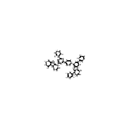 c1ccc(-c2cc(-c3ccc(-c4nc(-c5ccccc5)nc(-c5cccc6c5oc5ccccc56)n4)cc3)c3sc4c(-c5ccccc5)cccc4c3c2)cc1